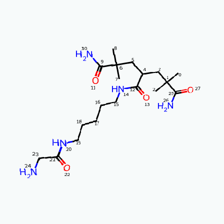 CC(C)(CC(CC(C)(C)C(N)=O)C(=O)NCCCCCNC(=O)CN)C(N)=O